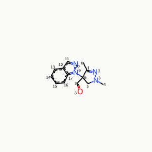 CC1=NN(C)CC1(C=O)n1ncc2ccccc21